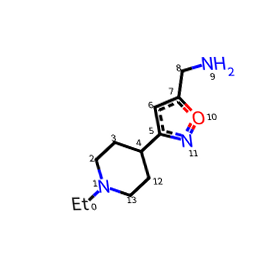 CCN1CCC(c2cc(CN)on2)CC1